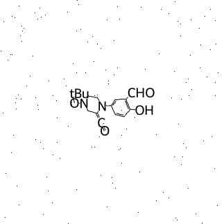 CC(C)(C)ON1CCN(c2ccc(O)c(C=O)c2)C(=C=O)C1